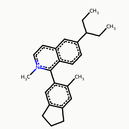 CCC(CC)c1ccc2c(-c3cc4c(cc3C)CCC4)[n+](C)ccc2c1